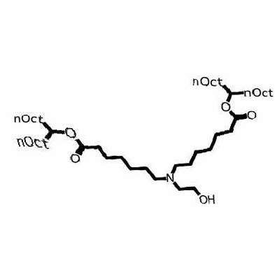 CCCCCCCCC(CCCCCCCC)OC(=O)CCCCCCN(CCO)CCCCCCC(=O)OC(CCCCCCCC)CCCCCCCC